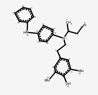 CC(C)CC(C)N(CCc1cc(C(C)(C)C)c(O)c(C(C)(C)C)c1)c1ccc(Nc2ccccc2)cc1